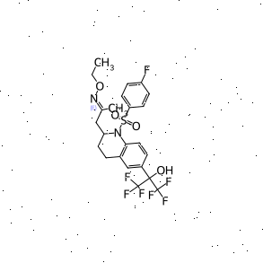 CCO/N=C(\C)CC1CCc2cc(C(O)(C(F)(F)F)C(F)(F)F)ccc2N1S(=O)(=O)c1ccc(F)cc1